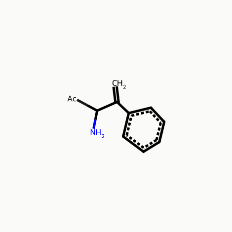 C=C(c1ccccc1)C(N)C(C)=O